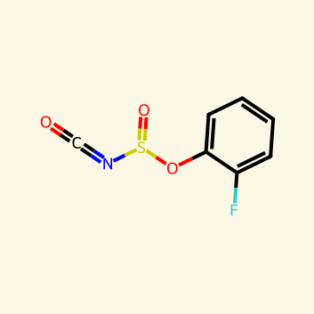 O=C=NS(=O)Oc1ccccc1F